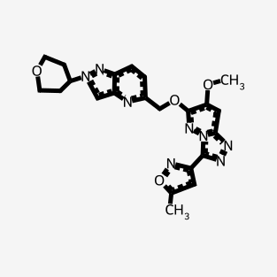 COc1cc2nnc(-c3cc(C)on3)n2nc1OCc1ccc2nn(C3CCOCC3)cc2n1